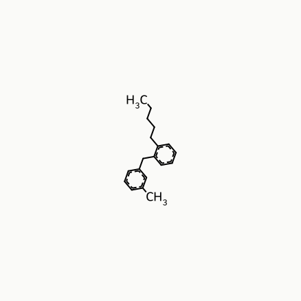 CCCCCc1ccccc1Cc1cccc(C)c1